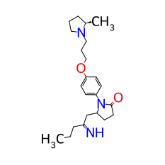 CCCC(=N)CC1CCC(=O)N1c1ccc(OCCCN2CCC[C@H]2C)cc1